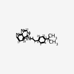 CC(C)c1ccc(CCNc2ncnc3ncccc23)cc1